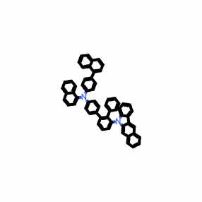 c1ccc(-c2c(-c3ccc(N(c4ccc(-c5cccc6ccccc56)cc4)c4cccc5ccccc45)cc3)cccc2-n2c3ccccc3c3cc4ccccc4cc32)cc1